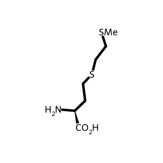 CSCCSCC[C@H](N)C(=O)O